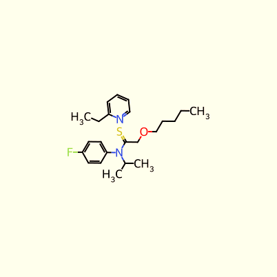 CCCCCOCC(=S)N(c1ccc(F)cc1)C(C)C.CCc1ccccn1